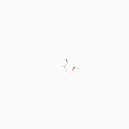 C=CC(O)CCCCC.CCCC(=O)CCC